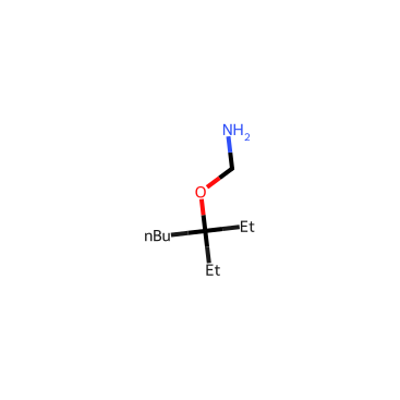 CCCCC(CC)(CC)OCN